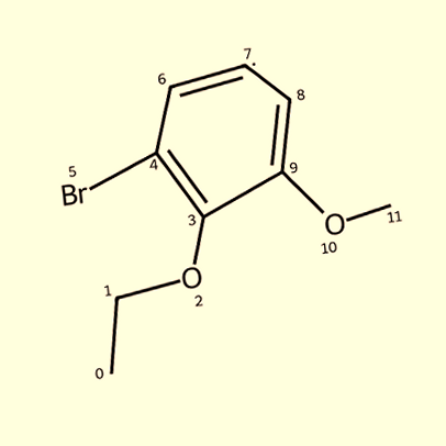 CCOc1c(Br)c[c]cc1OC